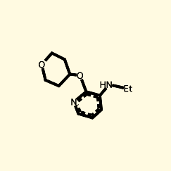 CCNc1cccnc1OC1CCOCC1